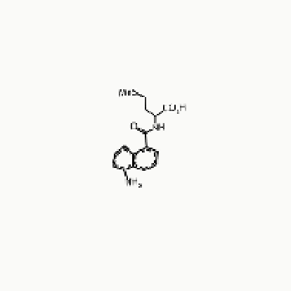 CSCC[C@H](NC(=O)c1cccc2c(N)cccc12)C(=O)O